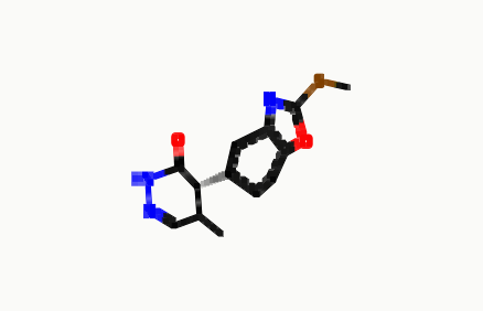 CSc1nc2cc([C@H]3C(=O)NN=CC3C)ccc2o1